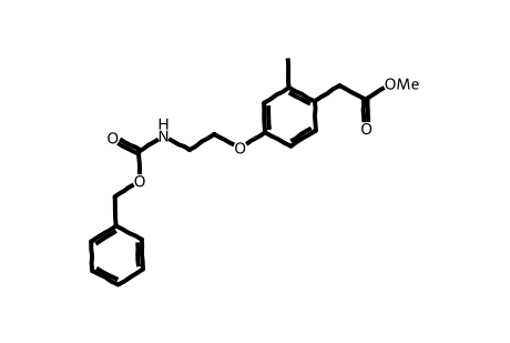 COC(=O)Cc1ccc(OCCNC(=O)OCc2ccccc2)cc1C